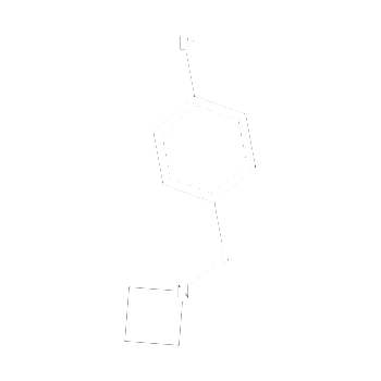 Brc1ccc(SN2CCC2)cc1